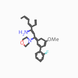 C=CC(=C\C=C/C)/C(N)=C/C(=C1/C=C(c2ccccc2F)C=C(OC)C1)N1CCOCC1